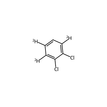 [2H]c1cc([2H])c(Cl)c(Cl)c1[2H]